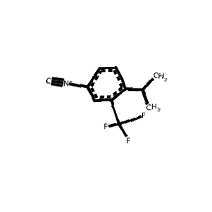 [C-]#[N+]c1ccc(C(C)C)c(C(F)(F)F)c1